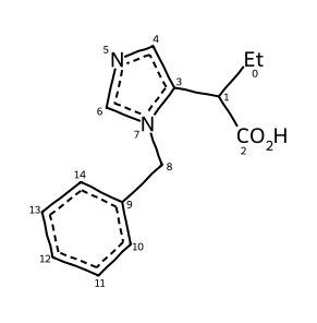 CCC(C(=O)O)c1cncn1Cc1ccccc1